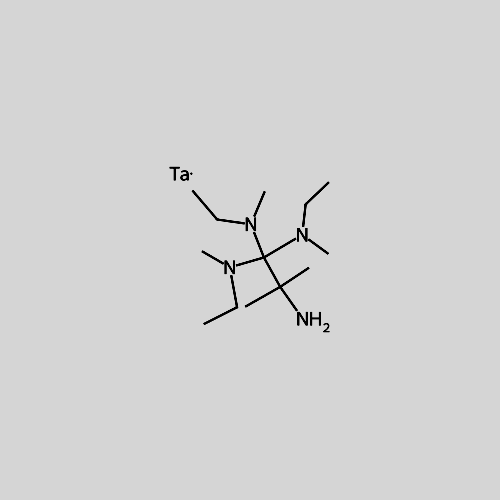 CCN(C)C(N(C)CC)(N(C)CC)C(C)(C)N.[Ta]